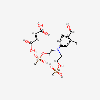 Cc1cc(N(CCOS(C)(=O)=O)CCOS(C)(=O)=O)ccc1C=O.O=C(O)C=CC(=O)O